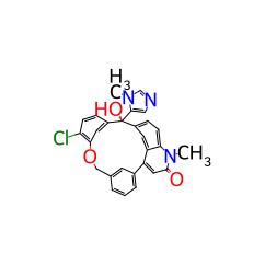 Cn1cncc1[C@@]1(O)c2ccc(Cl)c(c2)OCc2cccc(c2)-c2cc(=O)n(C)c3ccc1cc23